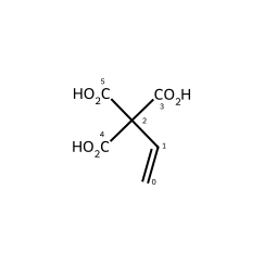 C=CC(C(=O)O)(C(=O)O)C(=O)O